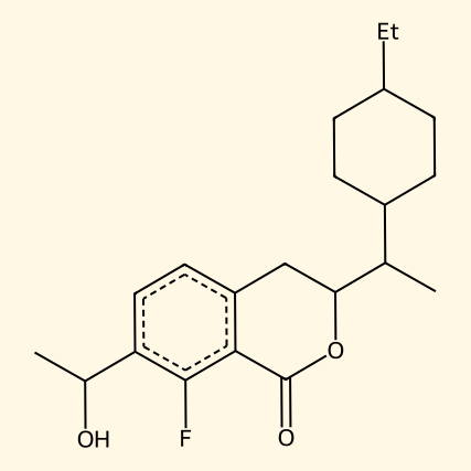 CCC1CCC(C(C)C2Cc3ccc(C(C)O)c(F)c3C(=O)O2)CC1